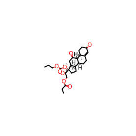 CCCOC(=O)O[C@]1(C(=O)COC(=O)CC)CC[C@H]2[C@@H]3CCC4=CC(=O)CC[C@]4(C)[C@H]3C(=O)C[C@@]21C